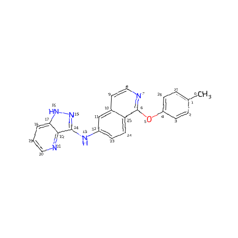 Cc1ccc(Oc2nccc3cc(Nc4n[nH]c5cccnc45)ccc23)cc1